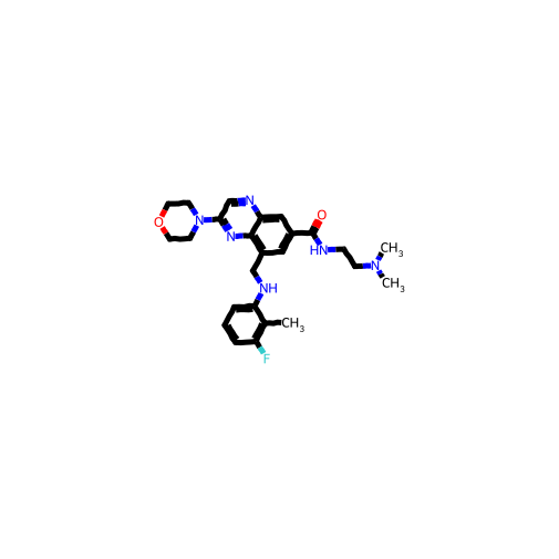 Cc1c(F)cccc1NCc1cc(C(=O)NCCN(C)C)cc2ncc(N3CCOCC3)nc12